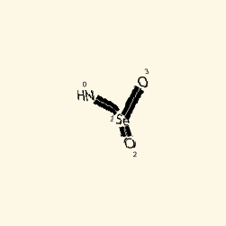 N=[Se](=O)=O